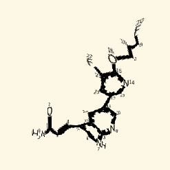 NC(=O)C=Cc1c[nH]c2ncc(-c3cnc(OCCCF)c(F)c3)cc12